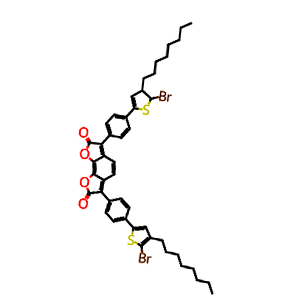 CCCCCCCCc1cc(-c2ccc(C3=c4ccc5c(c4OC3=O)OC(=O)C=5c3ccc(C4=CC(CCCCCCCC)C(Br)S4)cc3)cc2)sc1Br